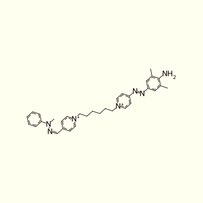 Cc1cc(/N=N/c2cc[n+](CCCCCC[n+]3ccc(/C=N\N(C)c4ccccc4)cc3)cc2)cc(C)c1N